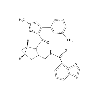 Cc1cccc(-c2sc(C)nc2C(=O)N2[C@H](CNC(=O)c3cccc4ncsc34)C[C@@H]3C[C@@H]32)c1